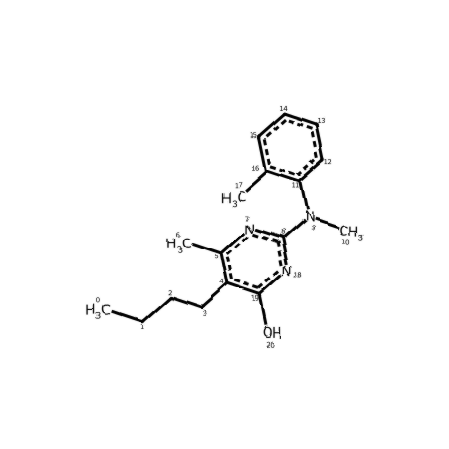 CCCCc1c(C)nc(N(C)c2ccccc2C)nc1O